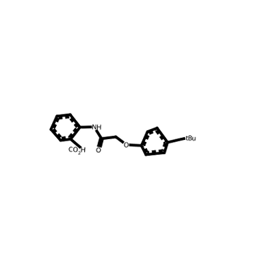 CC(C)(C)c1ccc(OCC(=O)Nc2ccccc2C(=O)O)cc1